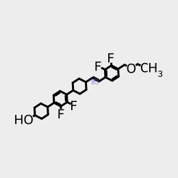 CCOCc1ccc(/C=C/C2CCC(c3ccc(C4CCC(O)CC4)c(F)c3F)CC2)c(F)c1F